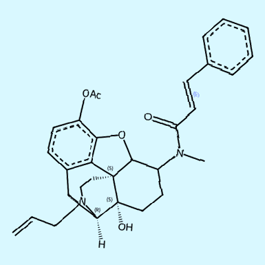 C=CCN1CC[C@]23c4c5ccc(OC(C)=O)c4OC2C(N(C)C(=O)/C=C/c2ccccc2)CC[C@@]3(O)[C@H]1C5